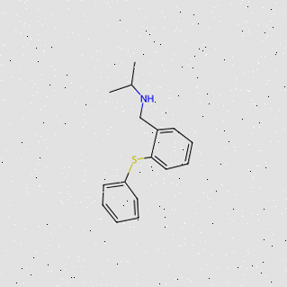 CC(C)NCc1ccccc1Sc1ccccc1